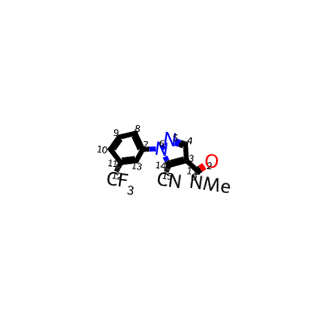 CNC(=O)c1cnn(-c2cccc(C(F)(F)F)c2)c1C#N